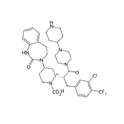 O=C(C(Cc1ccc(C(F)(F)F)c(Cl)c1)[C@H]1CC(N2CCc3ccccc3NC2=O)CCN1C(=O)O)N1CCN(C2CCNCC2)CC1